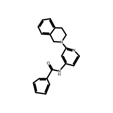 O=C(Nc1ccnc(N2CCc3ccccc3C2)c1)c1ccccc1